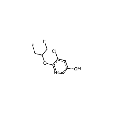 Oc1cnc(OC(CF)CF)c(Cl)c1